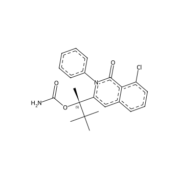 CC(C)(C)[C@](C)(OC(N)=O)c1cc2cccc(Cl)c2c(=O)n1-c1ccccc1